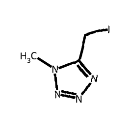 Cn1nnnc1CI